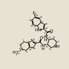 CN1CCc2nc(C(=O)N[C@@H]3CNCC[C@@H]3NC(=O)C3=CC4C=C(F)C=CC4N3)sc2C1